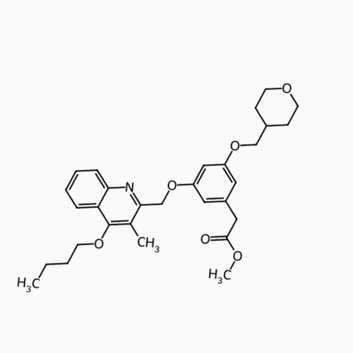 CCCCOc1c(C)c(COc2cc(CC(=O)OC)cc(OCC3CCOCC3)c2)nc2ccccc12